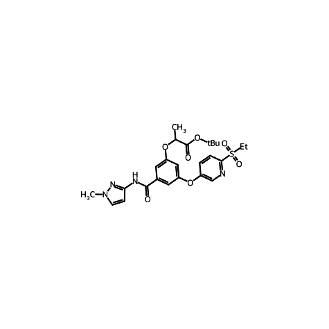 CCS(=O)(=O)c1ccc(Oc2cc(OC(C)C(=O)OC(C)(C)C)cc(C(=O)Nc3ccn(C)n3)c2)cn1